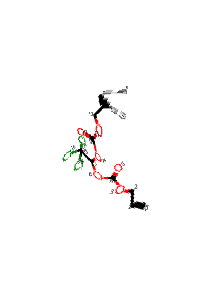 C=CCOC(=O)OC(OC(=O)OCC=C)C(Cl)(Cl)Cl